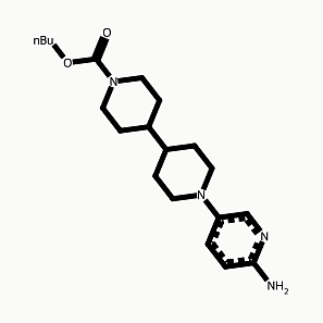 CCCCOC(=O)N1CCC(C2CCN(c3ccc(N)nc3)CC2)CC1